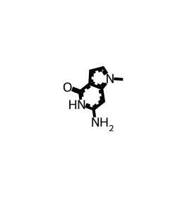 Cn1ccc2c(=O)[nH]c(N)cc21